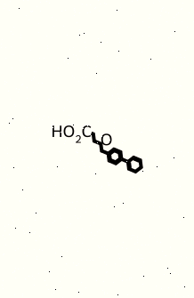 O=C(O)CCC(=O)Cc1ccc(C2=CCCC=C2)cc1